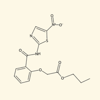 CCCOC(=O)COc1ccccc1C(=O)Nc1ncc([N+](=O)[O-])s1